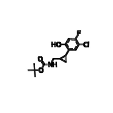 CC(C)(C)OC(=O)NCC1CC1c1cc(Cl)c(F)cc1O